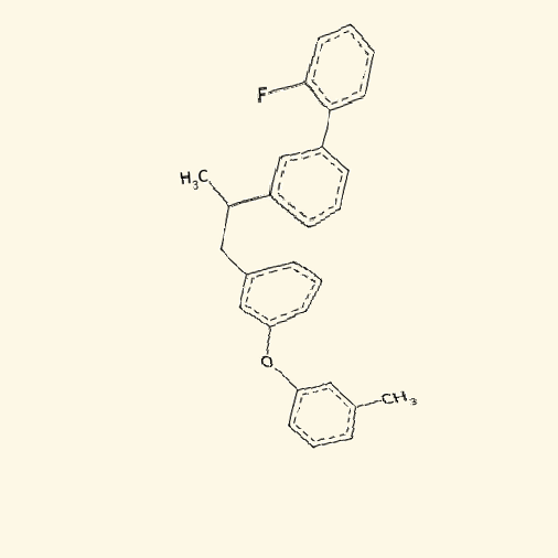 Cc1cccc(Oc2cccc(CC(C)c3cccc(-c4ccccc4F)c3)c2)c1